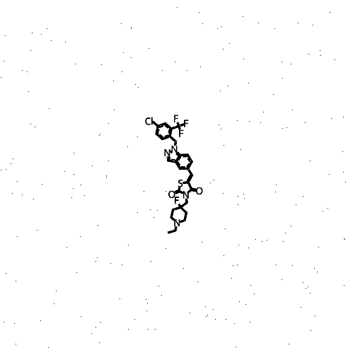 CCN1CCC(F)(CN2C(=O)SC(=Cc3ccc4c(cnn4Cc4ccc(Cl)cc4C(F)(F)F)c3)C2=O)CC1